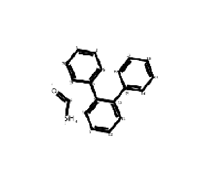 O=C[SiH3].c1ccc(-c2ccccc2-c2ccccc2)cc1